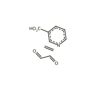 C=C.O=C(O)c1cccnc1.O=CC=O